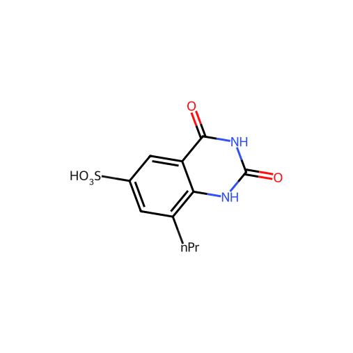 CCCc1cc(S(=O)(=O)O)cc2c(=O)[nH]c(=O)[nH]c12